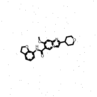 COc1cc2nc(C3CCOCC3)cn2cc1C(=O)Nc1cccc2c1OCC2